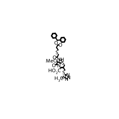 CO[C@@]1(NC(=O)CSCCC(=O)OC(c2ccccc2)c2ccccc2)C(=O)N2C(C(=O)O)=C(CSc3nnnn3C)CS[C@@H]21